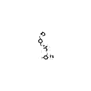 O=c1ccccn1Cc1ccc(Cn2cc3c(NCc4cc(Cl)ccc4-n4nccn4)ncnc3n2)cc1